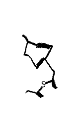 C=C(C)SC(=C)CC1=CCC(C)C=C1